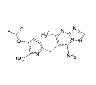 Cc1nc2ncnn2c(N)c1Cc1ccc(OC(F)F)c(C#N)n1